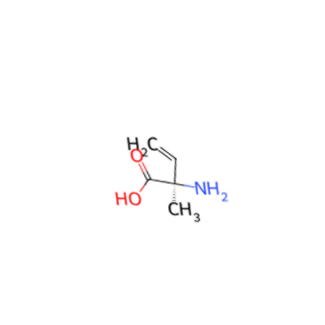 C=C[C@@](C)(N)C(=O)O